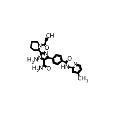 C#CC(=O)N1CCCCC1c1nc(-c2ccc(C(=O)Nc3cc(C)ccn3)cc2)c(C(N)=O)n1N